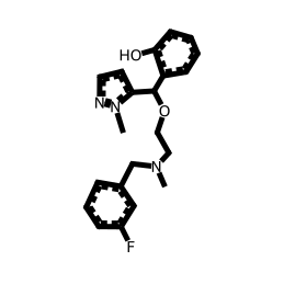 CN(CCOC(c1ccccc1O)c1ccnn1C)Cc1cccc(F)c1